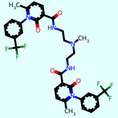 Cc1ccc(C(=O)NCCN(C)CCNC(=O)c2ccc(C)n(-c3cccc(C(F)(F)F)c3)c2=O)c(=O)n1-c1cccc(C(F)(F)F)c1